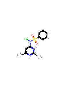 Cc1cc(N(Cl)S(=O)(=O)c2ccccc2)nc(C)n1